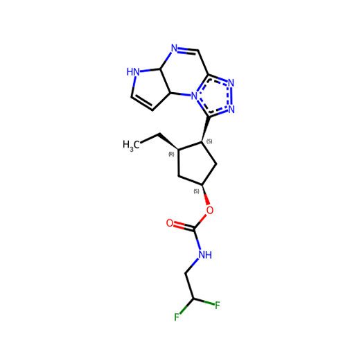 CC[C@@H]1C[C@H](OC(=O)NCC(F)F)C[C@@H]1c1nnc2n1C1C=CNC1N=C2